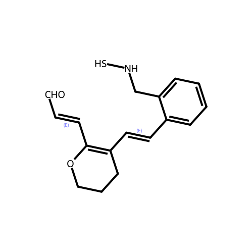 O=C/C=C/C1=C(/C=C/c2ccccc2CNS)CCCO1